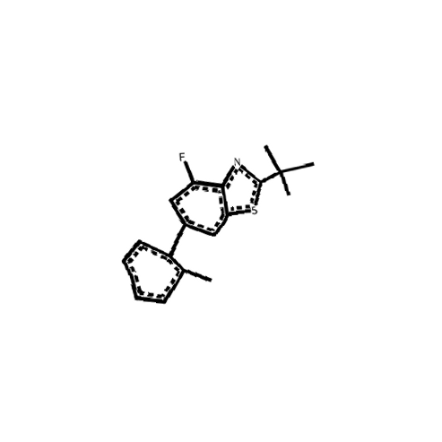 Cc1ccccc1-c1cc(F)c2nc(C(C)(C)C)sc2c1